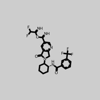 N=C(OC(=N)C(F)F)c1cnc2c(c1)C(=O)N(C1CCCC[C@H]1NC(=O)c1cccc(C(F)(F)F)c1)C2